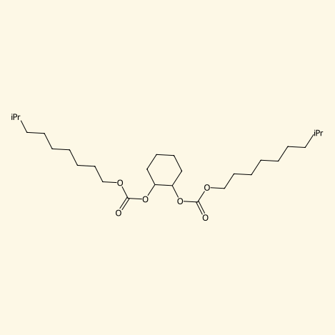 CC(C)CCCCCCCOC(=O)OC1CCCCC1OC(=O)OCCCCCCCC(C)C